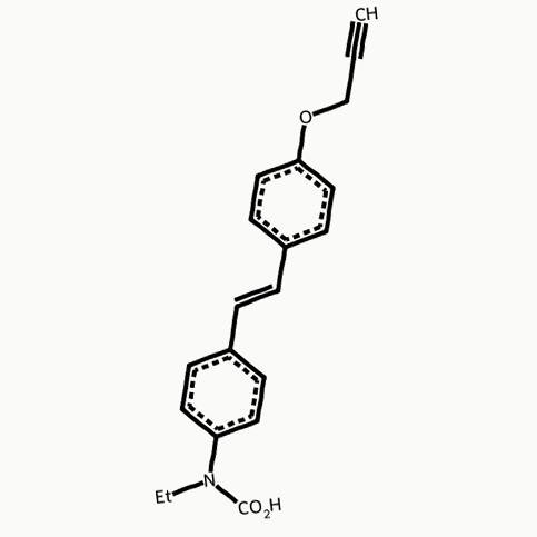 C#CCOc1ccc(C=Cc2ccc(N(CC)C(=O)O)cc2)cc1